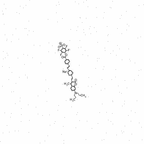 CCCN(CCC)c1ccc2c(C)c(/C=C/c3ccc(/C=C/c4ccc(C(=O)Oc5c(F)c(F)c(S(=O)(=O)[O-])c(F)c5F)cc4)cc3)c(=O)oc2c1.[Na+]